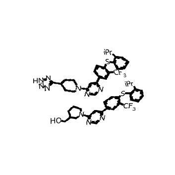 CC(C)c1ccccc1Sc1ccc(-c2cc(N3CCC(c4nn[nH]n4)CC3)ncn2)cc1C(F)(F)F.CC(C)c1ccccc1Sc1ccc(-c2cc(N3CCCC(CO)C3)ncn2)cc1C(F)(F)F